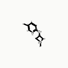 Cc1ccc(OC2CN(C)C2)nc1